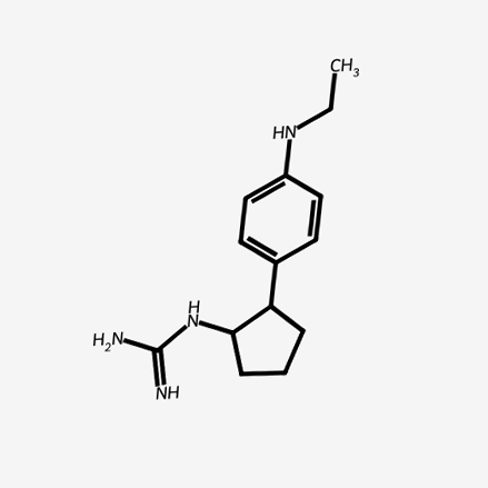 CCNc1ccc(C2CCCC2NC(=N)N)cc1